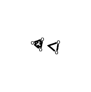 C1OO1.o1oo1